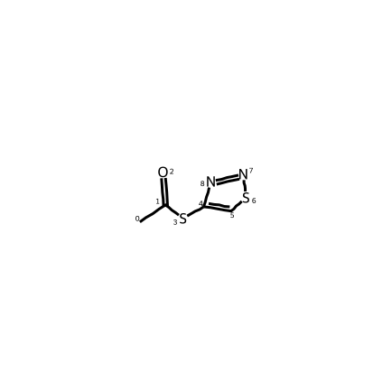 CC(=O)Sc1csnn1